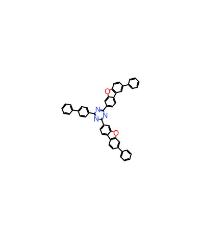 c1ccc(-c2ccc(-c3nc(-c4ccc5c(c4)oc4cc(-c6ccccc6)ccc45)nc(-c4ccc5c(c4)oc4ccc(-c6ccccc6)cc45)n3)cc2)cc1